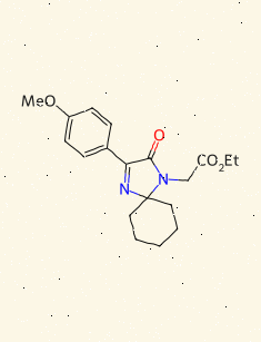 CCOC(=O)CN1C(=O)C(c2ccc(OC)cc2)=NC12CCCCC2